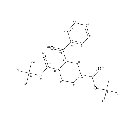 CC(C)(C)OC(=O)N1CCN(C(=O)OC(C)(C)C)C(C(=O)c2ccccc2)C1